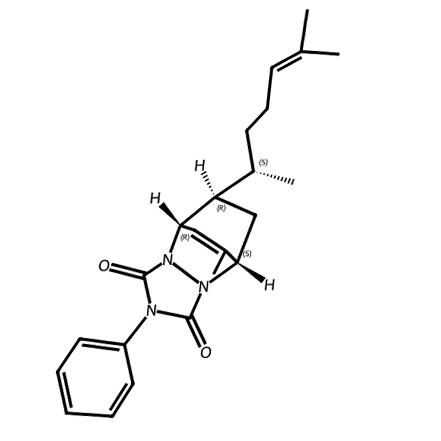 CC(C)=CCC[C@H](C)[C@H]1C[C@H]2C(C)=C[C@@H]1n1c(=O)n(-c3ccccc3)c(=O)n12